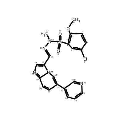 COc1ccc(Cl)cc1S(=O)(=O)N(C)N=Cc1cnc2ccc(-c3cccnc3)cn12